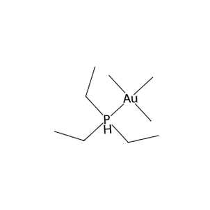 CC[PH](CC)(CC)[Au]([CH3])([CH3])[CH3]